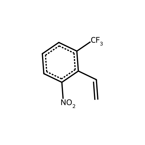 C=Cc1c([N+](=O)[O-])cccc1C(F)(F)F